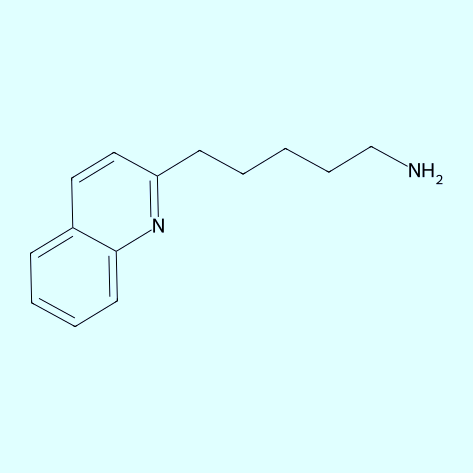 NCCCCCc1ccc2ccccc2n1